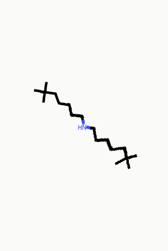 CC(C)(C)CCCCCNCCCCCC(C)(C)C